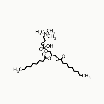 CCCCCCCCC(=O)OC[C@H](COP(=O)(O)OCC[N+](C)(C)C)OC(=O)CCCCCCCC